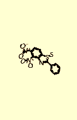 O=[N+]([O-])c1ccc2c(c1[N+](=O)[O-])N=C(c1ccccc1)S2=S